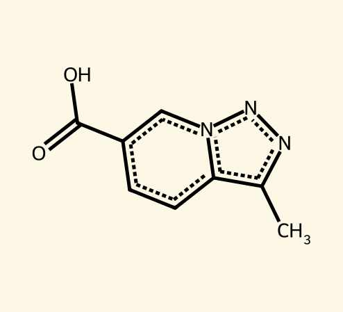 Cc1nnn2cc(C(=O)O)ccc12